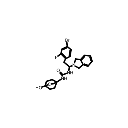 O=C(NC(Cc1ccc(Br)cc1F)N1Cc2ccccc2C1)NC12CCC(O)(CC1)CC2